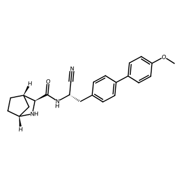 COc1ccc(-c2ccc(C[C@@H](C#N)NC(=O)[C@H]3N[C@@H]4CC[C@H]3C4)cc2)cc1